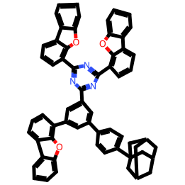 c1ccc2c(c1)oc1c(-c3cc(-c4ccc(C56CC7CC(CC(C7)C5)C6)cc4)cc(-c4nc(-c5cccc6c5oc5ccccc56)nc(-c5cccc6c5oc5ccccc56)n4)c3)cccc12